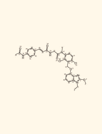 CCn1c(OC)nc2c(OCc3c(Cl)ccc(N(C)C(=O)CNC(=O)C=Cc4ccc(NC(C)=O)nc4)c3Cl)cccc21